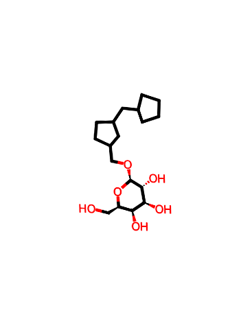 OC[C@H]1O[C@@H](OCC2CCC(CC3CCCC3)C2)[C@H](O)[C@@H](O)[C@H]1O